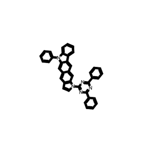 c1ccc(-c2nc(-c3ccccc3)nc(-n3ccc4cc5cc6c(cc5cc43)c3ccccc3n6-c3ccccc3)n2)cc1